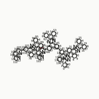 c1ccc(-c2nc(-c3cccc(-c4nc(-c5ccccc5)c(-c5ccccc5)nc4-c4ccccc4)c3)nc(-c3ccc(-c4ccc(-c5nc(-c6ccccc6)c(-c6ccccc6)nc5-c5cccc(-c6ccc7cc(-c8ccccc8-c8nc(-c9ccccc9)c(-c9ccccc9)nc8-c8ccc(-c9ccc%10ccc%11cccnc%11c%10n9)cc8)c8cccnc8c7n6)c5)cc4)cc3-c3ccccc3)n2)cc1